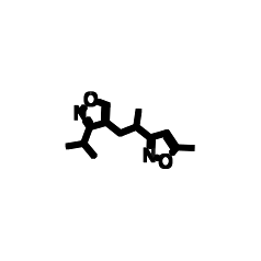 Cc1cc(C(C)Cc2conc2C(C)C)no1